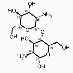 N[C@@H]1[C@H](O[C@H]2[C@H](O)[C@H](N)[C@@H](O)O[C@@H]2CO)O[C@H](CO)[C@@H](O)[C@@H]1O